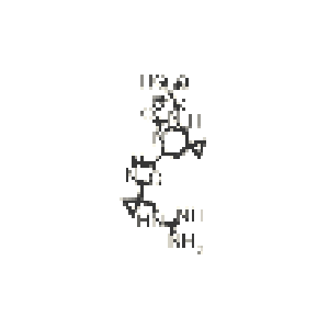 N=C(N)NCC1(c2nnc([C@@H]3CC4(CC4)[C@@H]4CN3C(=O)N4OS(=O)(=O)O)o2)CC1